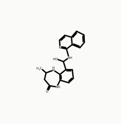 CC1CC(=O)Nc2cccc(C(O)Nc3nccc4ccccc34)c2N1